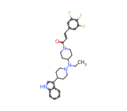 CCN(C1CCN(C(=O)C=Cc2cc(F)c(F)c(F)c2)CC1)N1CCC(c2c[nH]c3ccccc23)CC1